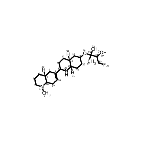 CN1CCC[C@@H]2CC(C3CC[C@@H]4CC(OC(C)(C)C(O)CF)CC[C@@H]4N3)=CCC21